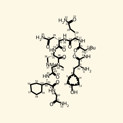 CC[C@H](C)[C@H](NC(=O)[C@@H](N)Cc1ccc(O)cc1)C(=O)N[C@@H](CCC(N)=O)C(=O)N[C@@H](CC(N)=O)C(=O)N[C@@H](CNC)C(=O)N(C)CC(=O)N[C@H](C(=O)NCC(N)=O)C1CCCCC1